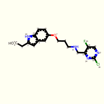 O=C(O)Cc1cc2cc(OCCCNCc3nc(Cl)ncc3F)ccc2[nH]1